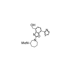 CNC1CCCCN(c2nc3c(CO)ccc(-c4nccs4)c3o2)C1